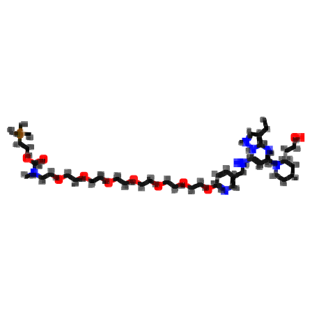 CCc1cnn2c(NCc3ccc(OCCOCCOCCOCCOCCOCCOCCN(C)C(=O)OCCS(C)(C)C)nc3)cc(N3CCCC[C@H]3CCO)nc12